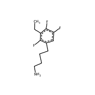 CCc1c(F)c(F)cc(CCCCN)c1F